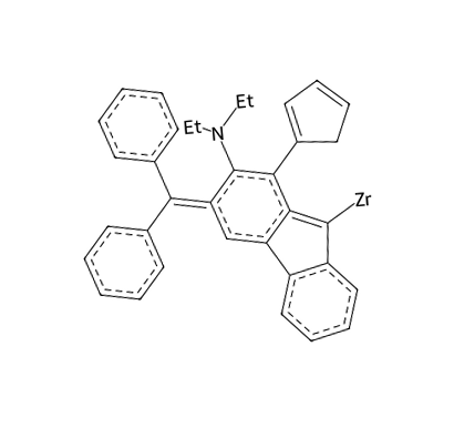 CCN(CC)c1c(C2=CC=CC2)c2c(cc1=C(c1ccccc1)c1ccccc1)-c1ccccc1[C]=2[Zr]